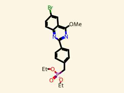 CCOP(=O)(Cc1ccc(-c2nc(OC)c3cc(Br)ccc3n2)cc1)OCC